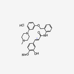 COc1ccc(/C=C/C(=O)Nc2ccccc2COc2cccc(N3CCN(C)CC3)c2)cc1O.Cl